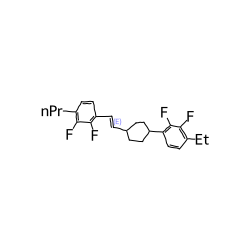 CCCc1ccc(/C=C/C2CCC(c3ccc(CC)c(F)c3F)CC2)c(F)c1F